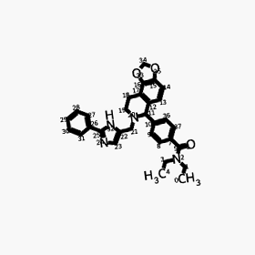 CCN(CC)C(=O)c1ccc(C2c3ccc4c(c3CCN2Cc2cnc(-c3ccccc3)[nH]2)OCO4)cc1